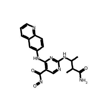 CC(Nc1ncc(C(=O)N=O)c(Nc2ccc3ncccc3c2)n1)C(C)C(N)=O